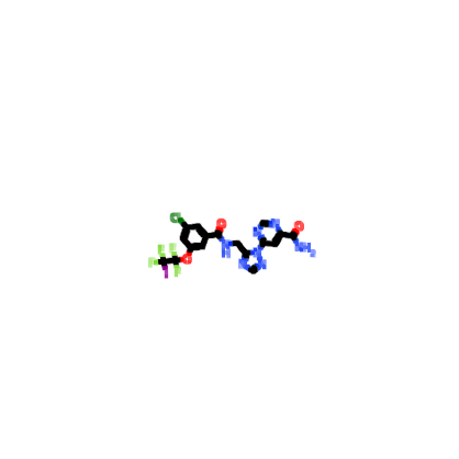 NC(=O)c1cc(-n2ncnc2CNC(=O)c2cc(Cl)cc(OC(F)(F)C(F)(F)I)c2)ncn1